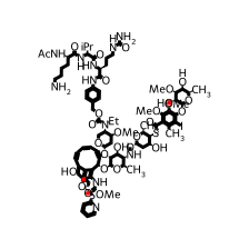 CCN(C(=O)OCc1ccc(NC(=O)[C@H](CCCNC(N)=O)NC(=O)[C@@H](NC(=O)[C@H](CCCCN)NC(C)=O)C(C)C)cc1)[C@H]1CO[C@@H](O[C@H]2[C@H](O[C@H]3C#CC=CC#C[C@]4(O)CC(=O)C(NC(=O)OC)=C3/C4=C\CSSc3ccccn3)O[C@H](C)[C@@H](NO[C@H]3C[C@H](O)[C@H](SC(=O)c4c(C)c(I)c(O[C@@H]5O[C@@H](C)[C@H](O)[C@@H](OC)[C@H]5O)c(OC)c4OC)[C@@H](C)O3)[C@@H]2O)C[C@@H]1OC